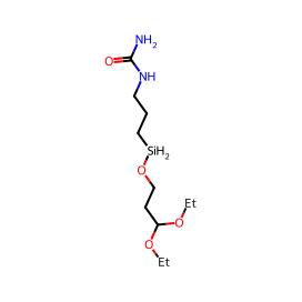 CCOC(CCO[SiH2]CCCNC(N)=O)OCC